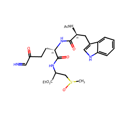 CCOC(=O)C(C[S+](C)[O-])NC(=O)[C@H](CCC(=O)C=N)NC(=O)[C@H](Cc1c[nH]c2ccccc12)NC(C)=O